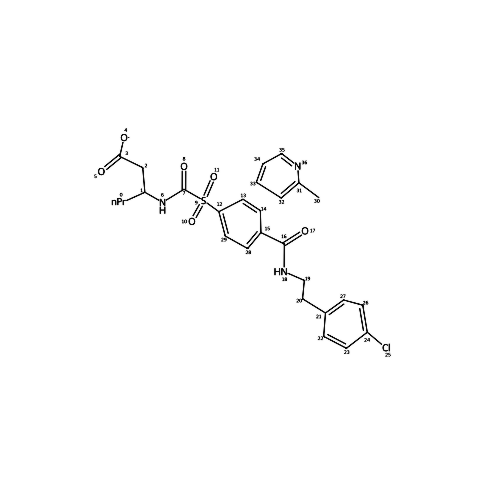 CCCC(CC([O])=O)NC(=O)S(=O)(=O)c1ccc(C(=O)NCCc2ccc(Cl)cc2)cc1.Cc1ccccn1